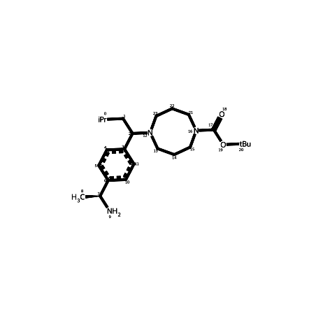 CC(C)CC(c1ccc([C@H](C)N)cc1)N1CCCN(C(=O)OC(C)(C)C)CCC1